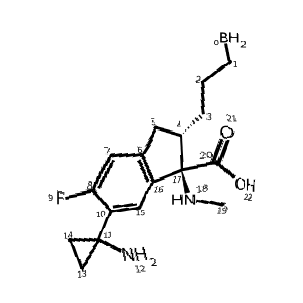 BCCC[C@H]1Cc2cc(F)c(C3(N)CC3)cc2[C@@]1(NC)C(=O)O